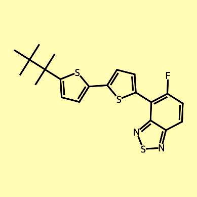 CC(C)(C)C(C)(C)c1ccc(-c2ccc(-c3c(F)ccc4nsnc34)s2)s1